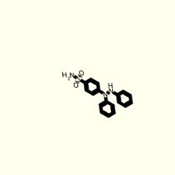 NS(=O)(=O)c1ccc(N(Nc2ccccc2)c2ccccc2)cc1